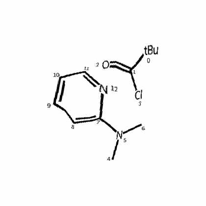 CC(C)(C)C(=O)Cl.CN(C)c1ccccn1